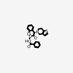 COC(=O)[C@H](c1ccccc1Cl)N1CCc2sccc2C1.O=C(O)c1ccccc1